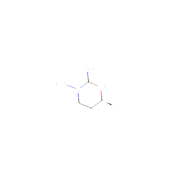 CC[C@H]1CCN(N)C(N)O1